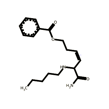 CCCCCNC(/C=C\CCOC(=O)c1ccccc1)C(N)=O